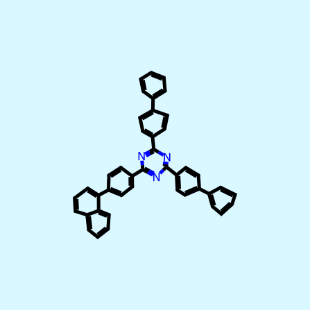 c1ccc(-c2ccc(-c3nc(-c4ccc(-c5ccccc5)cc4)nc(-c4ccc(-c5cccc6ccccc56)cc4)n3)cc2)cc1